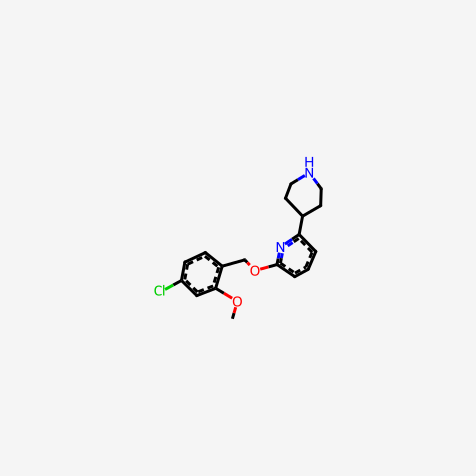 COc1cc(Cl)ccc1COc1cccc(C2CCNCC2)n1